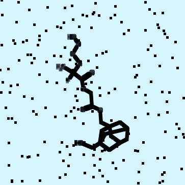 O=C(COC(=O)C(F)(SOOO)C(F)(F)F)OCC12CC3CC(CC(CO)(C3)C1)C2